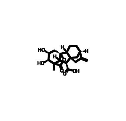 C=C1C[C@]23C[C@H]1CC[C@H]2[C@@]12C[C@H](O)[C@H](O)C(C)(C(=O)O1)[C@H]2[C@@H]3C(=O)O